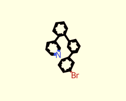 Brc1cccc(-c2cccc(-c3ccccc3-c3cccnc3)c2)c1